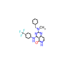 CN(Cc1ccccc1)c1nc(Nc2ccc(C(F)(F)F)cc2)c2c(=O)[nH]ccc2n1